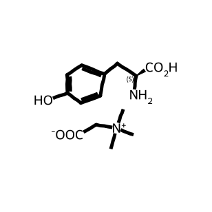 C[N+](C)(C)CC(=O)[O-].N[C@@H](Cc1ccc(O)cc1)C(=O)O